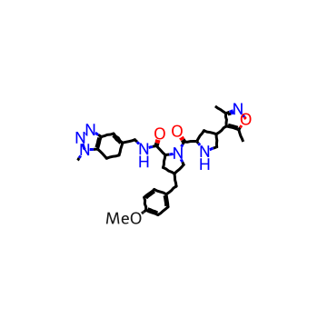 COc1ccc(CC2CC(C(=O)NCC3=Cc4nnn(C)c4CC3)N(C(=O)C3CC(c4c(C)noc4C)CN3)C2)cc1